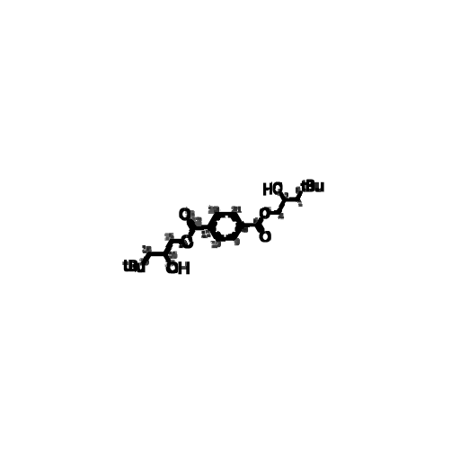 CC(C)(C)CC(O)COC(=O)c1ccc(C(=O)OCC(O)CC(C)(C)C)cc1